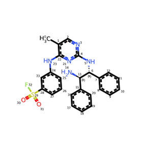 Cc1cnc(N[C@H](c2ccccc2)[C@H](N)c2ccccc2)nc1Nc1cccc(S(=O)(=O)F)c1